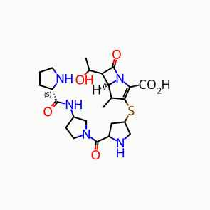 CC(O)C1C(=O)N2C(C(=O)O)=C(SC3CNC(C(=O)N4CCC(NC(=O)[C@@H]5CCCN5)C4)C3)C(C)[C@@H]12